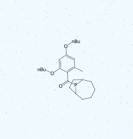 CCCCOc1cc(C)c(C(=O)P2C3CCCCC2CC3)c(OCCCC)c1